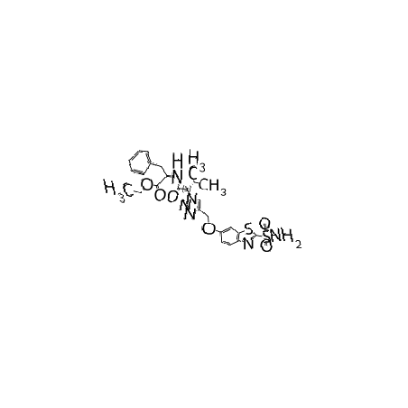 CCOC(=O)C(Cc1ccccc1)NC(=O)[C@H](C(C)C)n1cc(COc2ccc3nc(S(N)(=O)=O)sc3c2)nn1